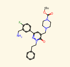 CC(C)(C)OC(=O)N1CCN(Cc2cc(-c3ccc(F)c(CN)c3)nn(CCc3ccccc3)c2=O)CC1